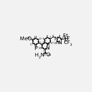 CCC(F)(c1cn(Cc2ccc3c(-c4ccc(OC)cc4F)cc(C(N)=O)nc3c2)cn1)C(F)(F)F